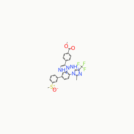 COC(=O)c1ccc(/C(=C/N)N(N)c2cc(-c3cccc([S+](C)[O-])c3)ccc2-n2cc(C(F)(F)F)nc2C)cc1